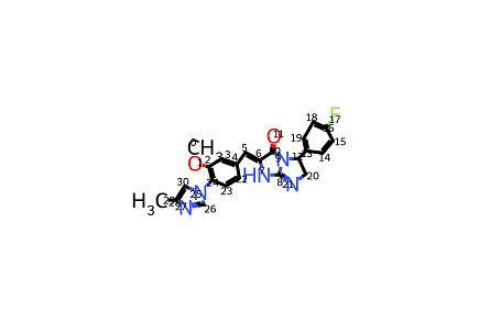 COc1cc(/C=c2\[nH]c3n(c2=O)C(c2ccc(F)cc2)CN=3)ccc1-n1cnc(C)c1